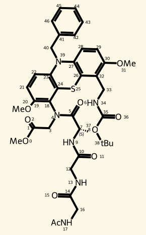 COC(=O)CN(C(=O)[C@H](C)NC(=O)CNC(=O)CNC(C)=O)c1c(OC)ccc2c1Sc1c(ccc(OC)c1CNC(=O)OC(C)(C)C)N2Cc1ccccc1